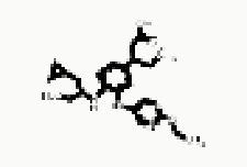 CCOc1ncc(Nc2cc(C(CC)CC(=O)O)ccc2NC(CC)CC2CC2)cn1